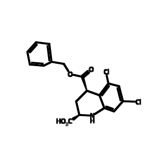 O=C(O)[C@H]1C[C@@H](C(=O)OCc2ccccc2)c2c(Cl)cc(Cl)cc2N1